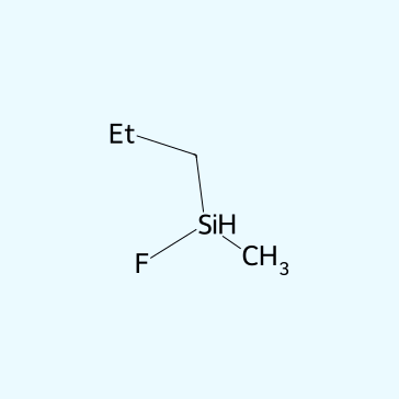 CCC[SiH](C)F